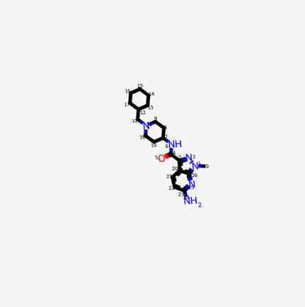 Cn1nc(C(=O)NC2CCN(CC3CCCCC3)CC2)c2ccc(N)nc21